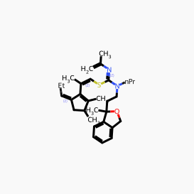 C=C(C)/N=C(\S/C=C(/C)C1=C(C)C(C)C/C1=C/CC)N(CCC)CCC1(C)OCc2ccccc21